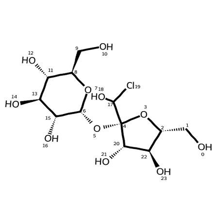 OC[C@H]1O[C@](O[C@H]2O[C@H](CO)[C@@H](O)[C@H](O)[C@H]2O)(C(O)Cl)[C@@H](O)[C@@H]1O